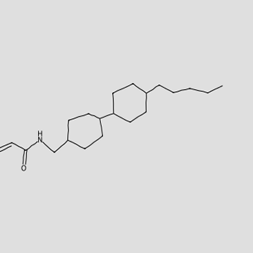 C=CC(=O)NCC1CCC(C2CCC(CCCCC)CC2)CC1